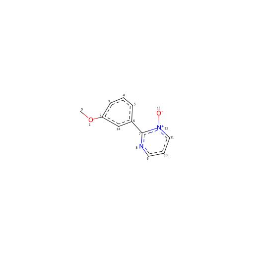 COc1cccc(-c2nccc[n+]2[O-])c1